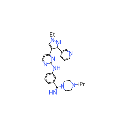 CCN1C=C(c2ccnc(Nc3cccc(C(=N)N4CCN(C(C)C)CC4)c3)n2)C(c2cccnc2)N1